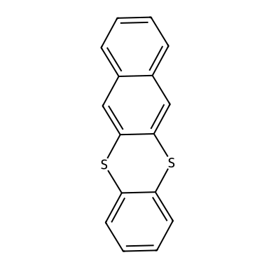 c1ccc2c(c1)Sc1cc3ccccc3cc1S2